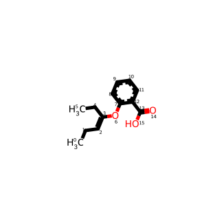 CC/C=C(\CC)Oc1ccccc1C(=O)O